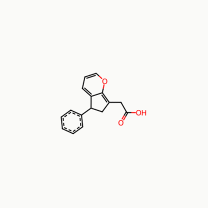 O=C(O)CC1=C2OC=CC=C2C(c2ccccc2)C1